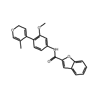 COc1cc(NC(=O)c2cc3ccccc3o2)ccc1C1=CCOC=C1C